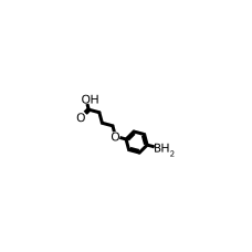 Bc1ccc(OCCCC(=O)O)cc1